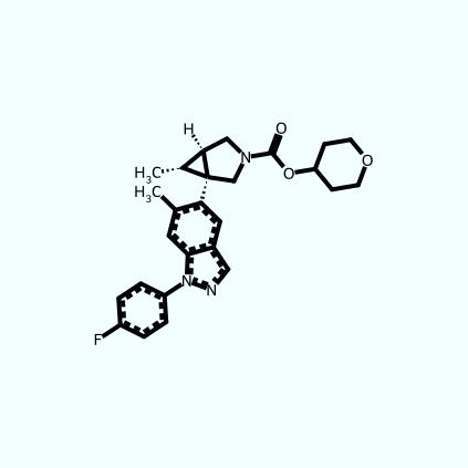 Cc1cc2c(cnn2-c2ccc(F)cc2)cc1[C@@]12CN(C(=O)OC3CCOCC3)C[C@@H]1[C@H]2C